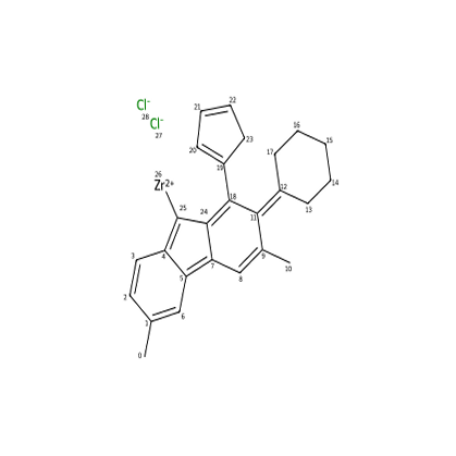 Cc1ccc2c(c1)=c1cc(C)c(=C3CCCCC3)c(C3=CC=CC3)c1[C]=2[Zr+2].[Cl-].[Cl-]